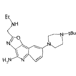 CCNCc1nc2c(N)nc3ccc(N4CCN(C(C)(C)C)CC4)cc3c2o1